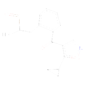 CC(Cc1ccccc1C(=O)c1cnoc1C1CC1)[S+]=O